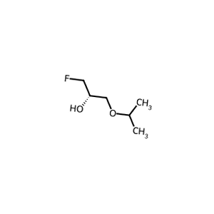 CC(C)OC[C@H](O)CF